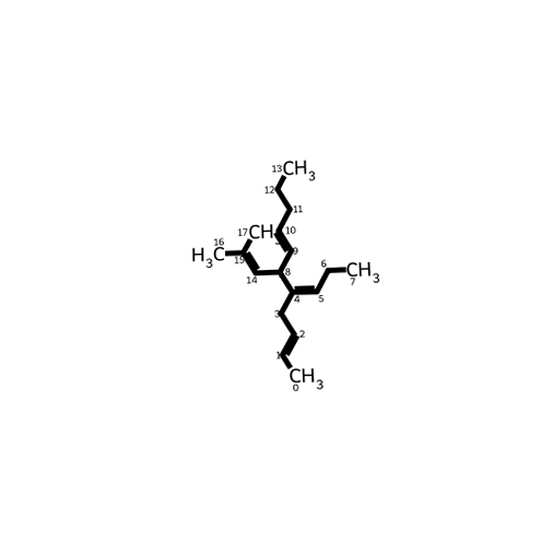 CC=CCC(=CCC)[C](C=CCCC)C=C(C)C